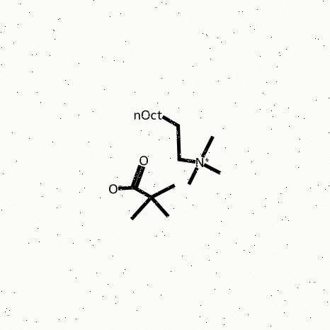 CC(C)(C)C(=O)[O-].CCCCCCCCCC[N+](C)(C)C